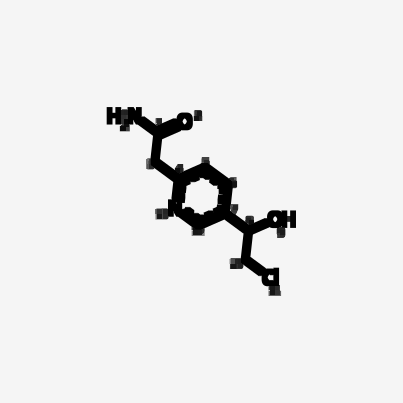 NC(=O)Cc1ccc(C(O)CCl)cn1